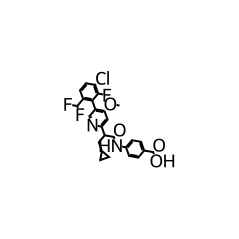 COc1cc(C(CC2CC2)C(=O)Nc2ccc(C(=O)O)cc2)ncc1-c1c(C(F)F)ccc(Cl)c1F